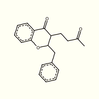 CC(=O)CCC1C(=O)c2ccccc2OC1Cc1ccccc1